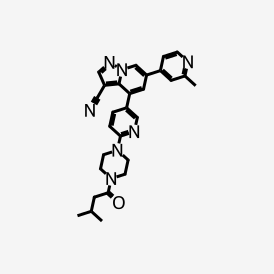 Cc1cc(-c2cc(-c3ccc(N4CCN(C(=O)CC(C)C)CC4)nc3)c3c(C#N)cnn3c2)ccn1